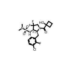 CN(C)S(=O)(=O)N[C@@H]1[C@H](Cc2cccc(Cl)c2F)N(C(=O)C2(O)CCC2)CC1(F)F